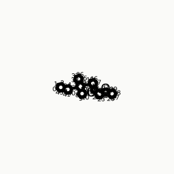 c1ccc2cc(-c3c4ccccc4c(-c4cccc5c4oc4ccc6c7ccccc7oc6c45)c4ccccc34)ccc2c1